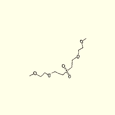 COCCOCCS(=O)(=O)CCOCCOC